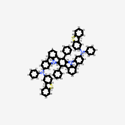 c1ccc(-c2c3c4cccc5c6ccc(N(c7ccccc7)c7ccc8sc9ccccc9c8c7)cc6n(c3c(-c3ccccc3)c3c6cccc7c8ccc(N(c9ccccc9)c9ccc%10sc%11ccccc%11c%10c9)cc8n(c23)c76)c54)cc1